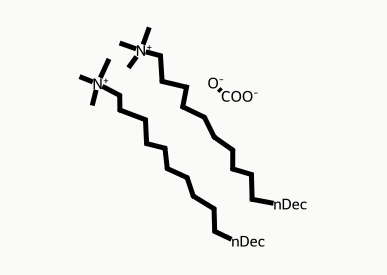 CCCCCCCCCCCCCCCCCCCC[N+](C)(C)C.CCCCCCCCCCCCCCCCCCCC[N+](C)(C)C.O=C([O-])[O-]